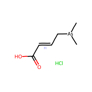 C[As](C)C/C=C/C(=O)O.Cl